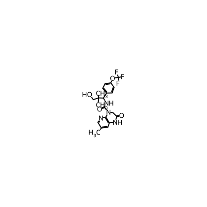 Cc1cnc2c(c1)NC(=O)CN2C(=O)NC(c1ccc(OC(F)(F)F)cc1)C(C)(C)CO